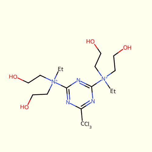 CC[N+](CCO)(CCO)c1nc(C(Cl)(Cl)Cl)nc([N+](CC)(CCO)CCO)n1